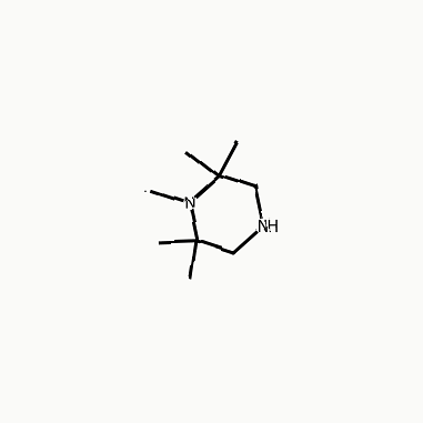 [CH2]N1C(C)(C)CNCC1(C)C